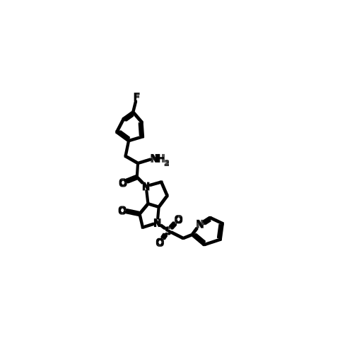 NC(Cc1ccc(F)cc1)C(=O)N1CCC2C1C(=O)CN2S(=O)(=O)Cc1ccccn1